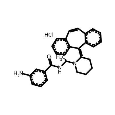 CC(NC(=O)c1cccc(N)c1)N1CCCCC1=C1c2ccccc2C=Cc2ccccc21.Cl